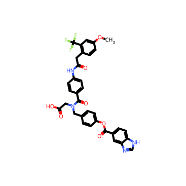 COc1ccc(CC(=O)Nc2ccc(C(=O)N(CC(=O)O)Cc3ccc(OC(=O)c4ccc5[nH]cnc5c4)cc3)cc2)c(C(F)(F)F)c1